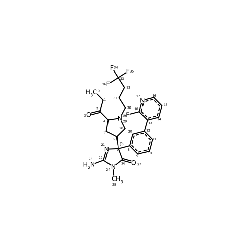 CCC(=O)C1CC([C@]2(c3cccc(-c4cccnc4F)c3)N=C(N)N(C)C2=O)CN1CCCC(F)(F)F